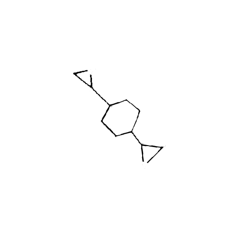 C1CC(C2CS2)CCC1C1CS1